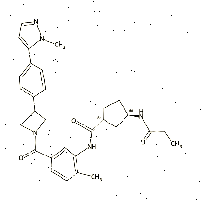 CCC(=O)N[C@@H]1CC[C@@H](C(=O)Nc2cc(C(=O)N3CC(c4ccc(-c5ccnn5C)cc4)C3)ccc2C)C1